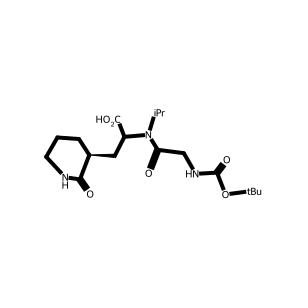 CC(C)N(C(=O)CNC(=O)OC(C)(C)C)C(C[C@@H]1CCCNC1=O)C(=O)O